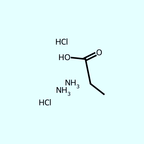 CCC(=O)O.Cl.Cl.N.N